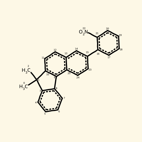 CC1(C)c2ccccc2-c2c1ccc1cc(-c3ccccc3[N+](=O)[O-])ccc21